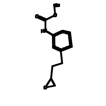 CC(C)(C)OC(=O)Nc1cccc(CCC2CO2)c1